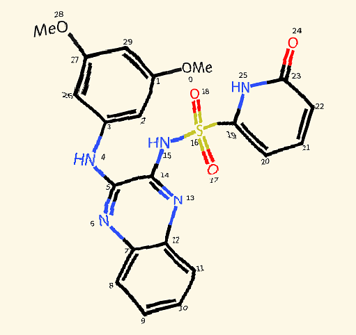 COc1cc(Nc2nc3ccccc3nc2NS(=O)(=O)c2cccc(=O)[nH]2)cc(OC)c1